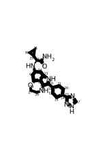 NC(=O)[C@@H](Nc1cc2c3c(c(-c4ccc(-c5nc[nH]n5)cc4)[nH]c3c1)NCCO2)C1CC1